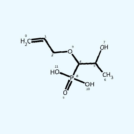 C=CCOC(C(C)O)P(=O)(O)O